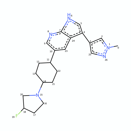 Cn1cc(-c2c[nH]c3ncc(C4CCC(N5CCC(F)C5)CC4)cc23)cn1